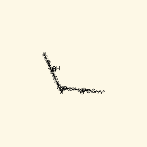 CCCCCCOCCOCCOC(=O)CCCCCCCCCCOc1cc(C)cc(OCCCCCCCCCCC(CCOCCOCCCCCC)OO)c1